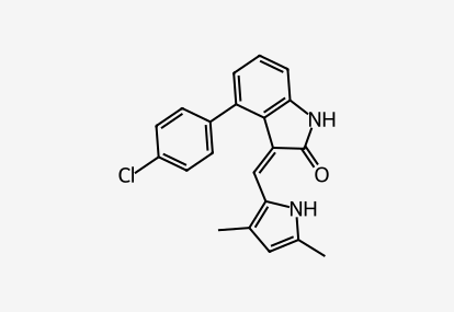 Cc1cc(C)c(C=C2C(=O)Nc3cccc(-c4ccc(Cl)cc4)c32)[nH]1